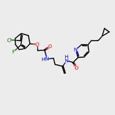 C=C(CCNC(=O)COC1CC2=C(Cl)C(F)=C1CCC2)NC(=O)c1ccc(CCC2CC2)cn1